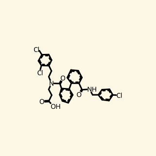 O=C(O)CCN(CCc1ccc(Cl)cc1Cl)C(=O)c1ccccc1-c1ccccc1C(=O)NCc1ccc(Cl)cc1